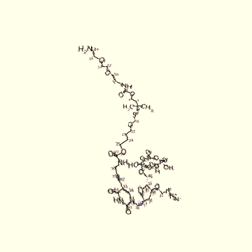 CC(C)(CCOC(=O)NCCOCCOCCN)SSCOCCCCOC(=O)NCC#Cc1cn(/C=C2/C[C@H](OCN=[N+]=[N-])[C@@H](COP(=O)(O)OP(=O)(O)OP(=O)(O)O)O2)c(=O)[nH]c1=O